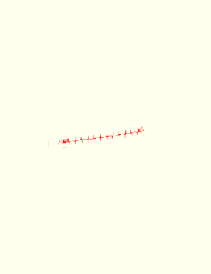 COCCOCCOCCOCCOCCOCCOCCOCCOCCOCCOCCOCCOC(=O)O